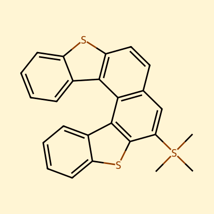 CS(C)(C)c1cc2ccc3sc4ccccc4c3c2c2c1sc1ccccc12